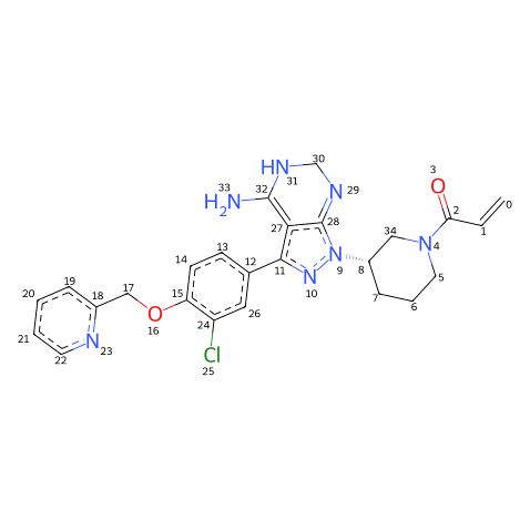 C=CC(=O)N1CCC[C@H](n2nc(-c3ccc(OCc4ccccn4)c(Cl)c3)c3c2=NCNC=3N)C1